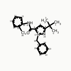 CC(C)(C)c1cc(C(=O)Nc2ccccc2Cl)n(Cc2ccccc2)n1